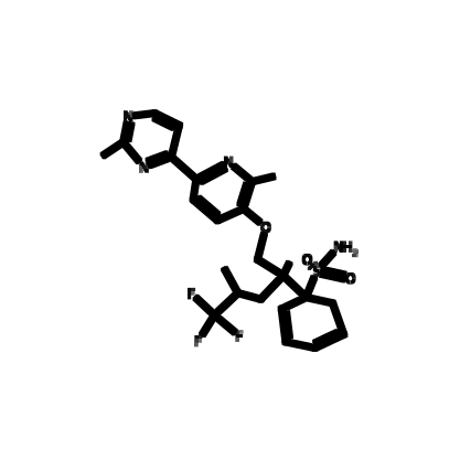 Cc1nccc(-c2ccc(OCC(C)(CC(C)C(F)(F)F)C3(S(N)(=O)=O)C=CC=CC3)c(C)n2)n1